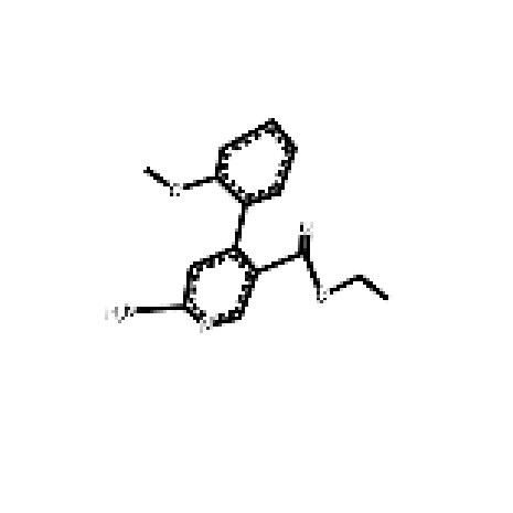 CCOC(=O)c1cnc(N)cc1-c1ccccc1OC